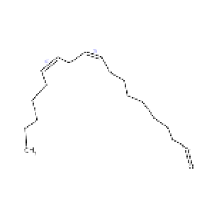 CCCCC/C=C\C/C=C\CCCCCCC[C]=O